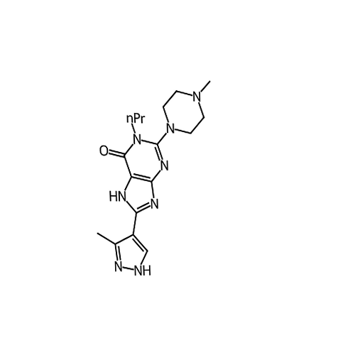 CCCn1c(N2CCN(C)CC2)nc2nc(-c3c[nH]nc3C)[nH]c2c1=O